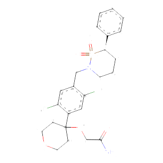 NC(=O)COC1(c2cc(F)c(CN3CCC[C@H](c4ccccc4)S3(=O)=O)cc2F)CCOCC1